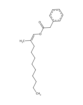 CCCCCCCCCC(C)=COC(=O)Cc1ccccc1